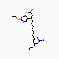 CCNc1cc(CCCCCCC(CC(=O)O)c2ccc(OCC)nc2)nc(N)n1